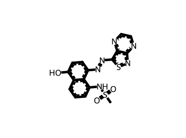 CS(=O)(=O)Nc1cccc2c(O)ccc(/N=N/c3snc4nccnc34)c12